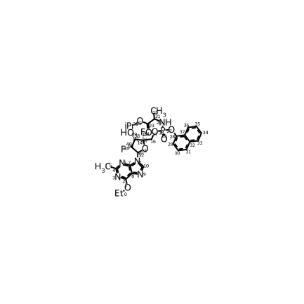 CCOc1nc(C)nc2c1ncn2[C@@H]1O[C@](F)(COP(=O)(NC(C)C(=O)OC(C)C)Oc2cccc3ccccc23)[C@@H](O)[C@H]1F